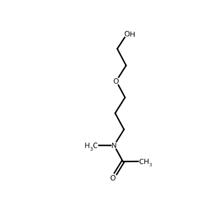 CC(=O)N(C)CCCOCCO